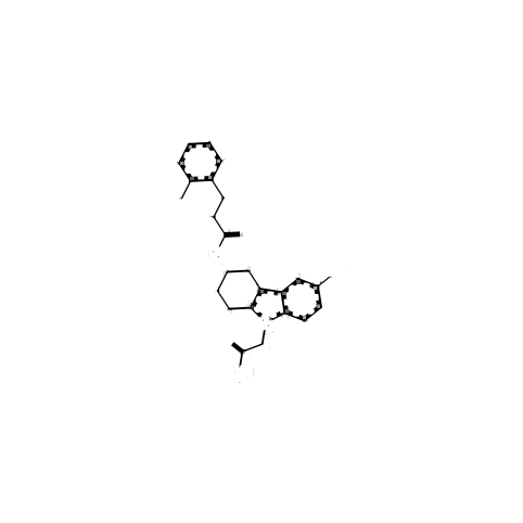 Cc1ccccc1CCC(=O)N[C@H]1CCc2c(c3cc(F)ccc3n2CC(=O)O)C1